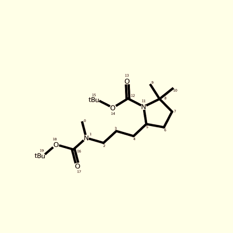 CN(CCCC1CCC(C)(C)N1C(=O)OC(C)(C)C)C(=O)OC(C)(C)C